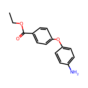 CCOC(=O)c1ccc(Oc2ccc(N)cc2)cc1